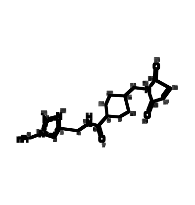 CCCn1cc(CNC(=O)C2CCC(CN3C(=O)C=CC3=O)CC2)nn1